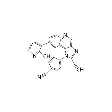 C#Cc1nc2cnc3ccc(-c4cccnc4C)cc3c2n1-c1ccc(C#N)cc1